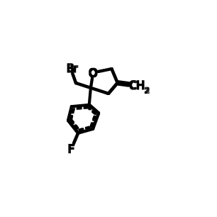 C=C1COC(CBr)(c2ccc(F)cc2)C1